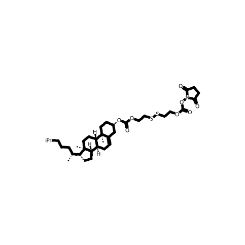 CC(C)CCC[C@@H](C)[C@H]1CC[C@H]2[C@@H]3CC=C4C[C@@H](OC(=O)OCCSSCCOC(=O)ON5C(=O)CCC5=O)CC[C@]4(C)[C@H]3CC[C@]12C